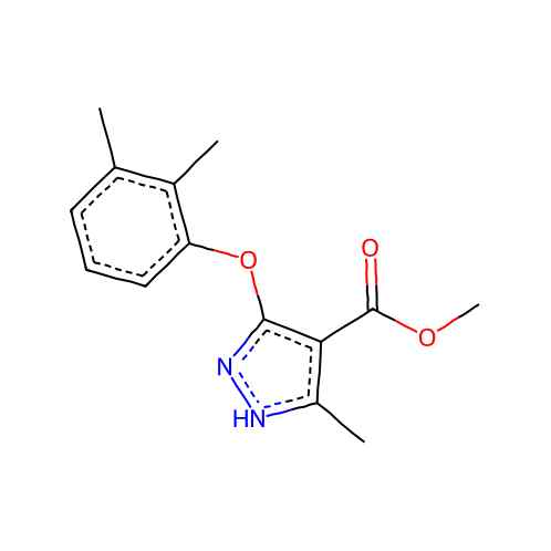 COC(=O)c1c(Oc2cccc(C)c2C)n[nH]c1C